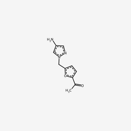 CC(=O)c1ccc(Cn2cc(N)cn2)o1